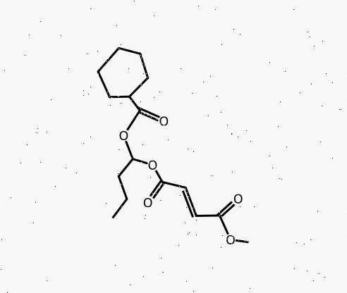 CCCC(OC(=O)/C=C/C(=O)OC)OC(=O)C1CCCCC1